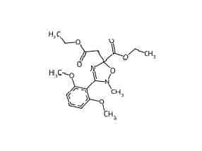 CCOC(=O)CC1(C(=O)OCC)N=C(c2c(OC)cccc2OC)N(C)O1